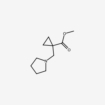 COC(=O)C1(CN2CCCC2)CC1